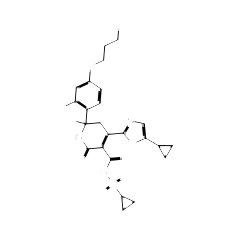 O=C1NC(c2ccc(OCCCC(F)(F)F)cc2F)(C(F)(F)F)CC(c2ncc(C3CC3)s2)=C1C(=O)NS(=O)(=O)C1CC1